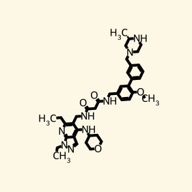 CCc1nc2c(cnn2CC)c(NC2CCOCC2)c1CNC(=O)CC(=O)NCc1ccc(OC)c(-c2cccc(CN3CCN[C@H](C)C3)c2)c1